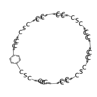 c1cc2ccc1CSCc1ccc(cc1)-c1ccc(cc1)CSCc1ccc(cc1)-c1ccc(cc1)CSCc1ccc(cc1)-c1ccc(cc1)CSCc1ccc-2cc1